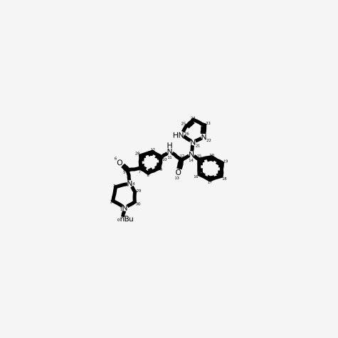 CCCCN1CCN(C(=O)c2ccc(NC(=O)N(c3ccccc3)N3N=CC=CN3)cc2)CC1